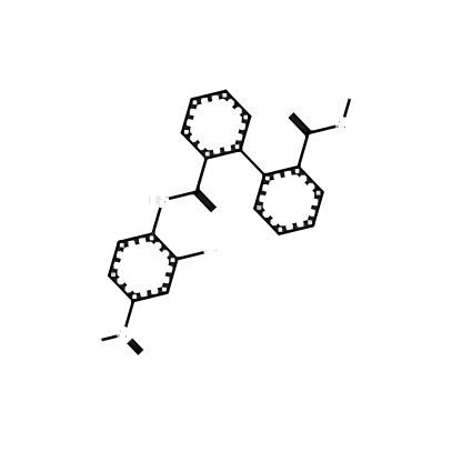 O=C(NO)c1ccccc1-c1ccccc1C(=O)Nc1ccc([N+](=O)[O-])cc1O